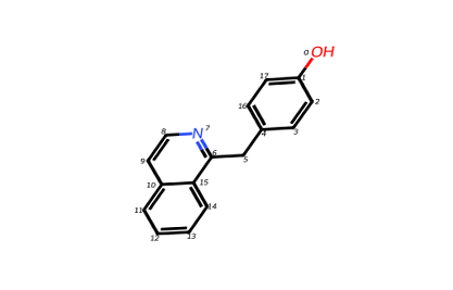 Oc1ccc(Cc2nccc3ccccc23)cc1